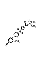 Cc1cc(C#N)ccc1N1CCN(S(=O)(=O)C2CN(C(=O)OC(C)(C)C)C2)CC1